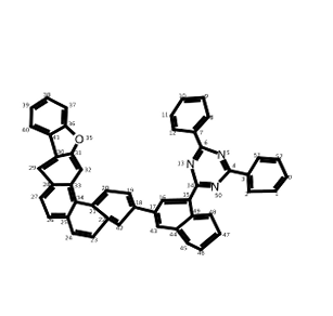 c1ccc(-c2nc(-c3ccccc3)nc(-c3cc(-c4ccc5c(ccc6ccc7cc8c(cc7c65)oc5ccccc58)c4)cc4ccccc34)n2)cc1